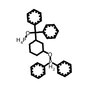 [PH4]OC(c1ccccc1)(c1ccccc1)C1CCCC(O[PH2](c2ccccc2)c2ccccc2)C1